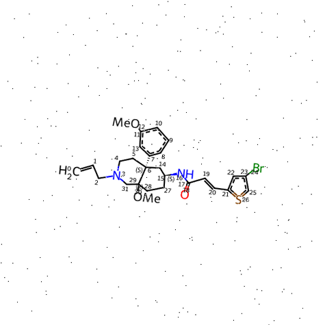 C=CCN1CC[C@@]2(c3cccc(OC)c3)C[C@@H](NC(=O)C=Cc3cc(Br)cs3)CC[C@]2(OC)C1